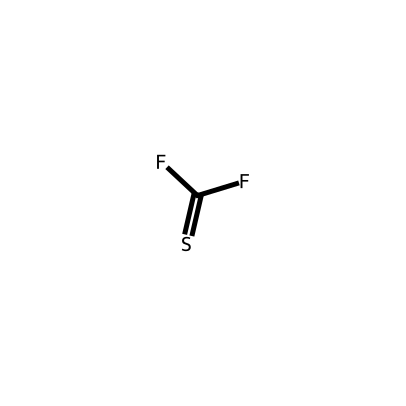 FC(F)=S